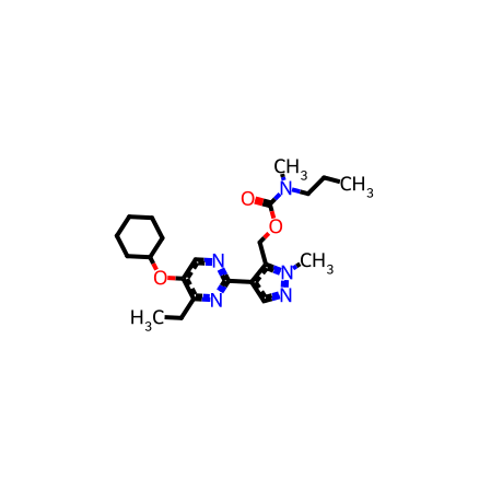 CCCN(C)C(=O)OCc1c(-c2ncc(OC3CCCCC3)c(CC)n2)cnn1C